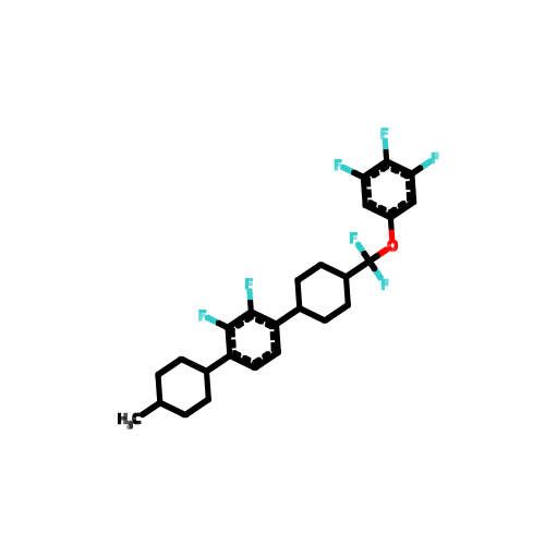 CC1CCC(c2ccc(C3CCC(C(F)(F)Oc4cc(F)c(F)c(F)c4)CC3)c(F)c2F)CC1